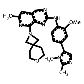 COc1cc(-c2cnc(C)n2C)ccc1Nc1ncc2cc(C)nc(N3CC4(CCOCC4)C3)c2n1